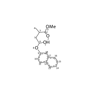 COC(=O)C(C)CC(O)Oc1ccc2ccccc2c1